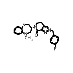 CN1C[C@@H](N2CCc3cn(Cc4ccc(F)cc4)nc3C2=O)CSc2ccccc21